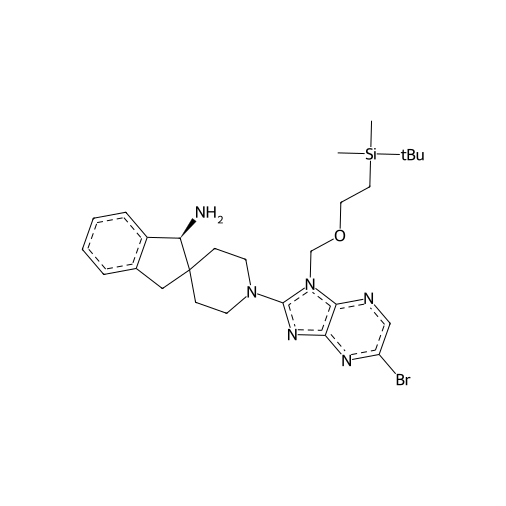 CC(C)(C)[Si](C)(C)CCOCn1c(N2CCC3(CC2)Cc2ccccc2[C@H]3N)nc2nc(Br)cnc21